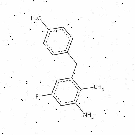 Cc1ccc(Cc2cc(F)cc(N)c2C)cc1